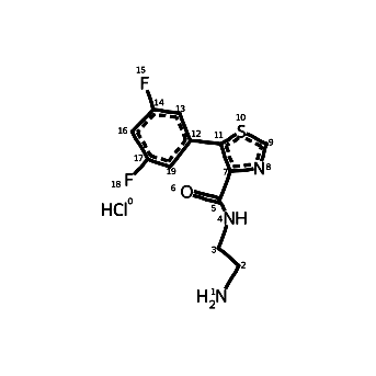 Cl.NCCNC(=O)c1ncsc1-c1cc(F)cc(F)c1